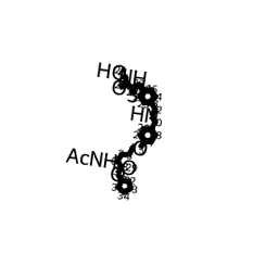 CC(=O)N[C@@H](CCCOc1ccc(CNCc2ccc3cc(C(=O)NO)sc3c2)cc1)C(=O)OC1CCCC1